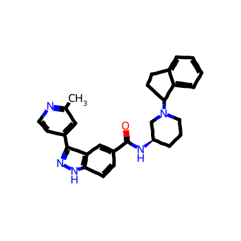 Cc1cc(-c2n[nH]c3ccc(C(=O)N[C@@H]4CCCN(C5CCc6ccccc65)C4)cc23)ccn1